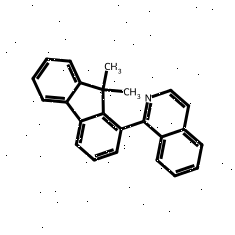 CC1(C)c2ccccc2-c2cccc(-c3nccc4ccccc34)c21